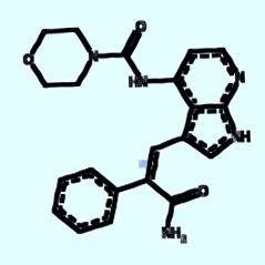 NC(=O)/C(=C\c1c[nH]c2nccc(NC(=O)N3CCOCC3)c12)c1ccccc1